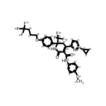 COc1ccc(NC(=O)C2=C(c3ccn(C4CC4)n3)CC(c3ccc(OCCCC(F)(F)F)cc3)(C(F)(F)F)NC2=O)cc1